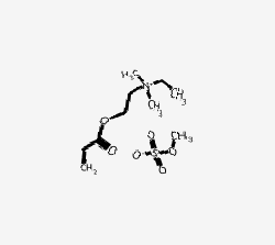 C=CC(=O)OCC[N+](C)(C)CC.COS(=O)(=O)[O-]